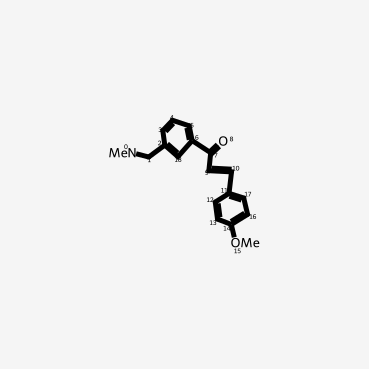 CNCc1cccc(C(=O)C=Cc2ccc(OC)cc2)c1